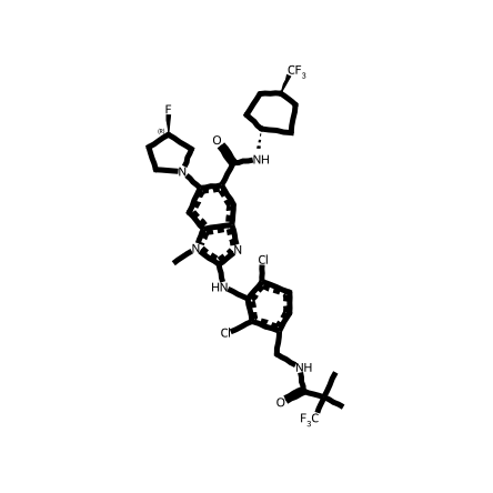 Cn1c(Nc2c(Cl)ccc(CNC(=O)C(C)(C)C(F)(F)F)c2Cl)nc2cc(C(=O)N[C@H]3CC[C@H](C(F)(F)F)CC3)c(N3CC[C@@H](F)C3)cc21